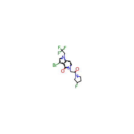 O=C(Cn1ccc2c(c(Br)cn2CC(F)(F)F)c1=O)N1CCC(F)C1